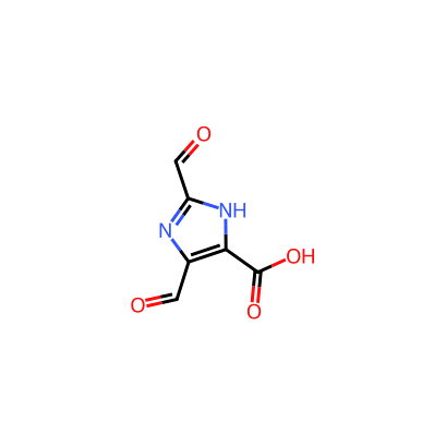 O=Cc1nc(C=O)c(C(=O)O)[nH]1